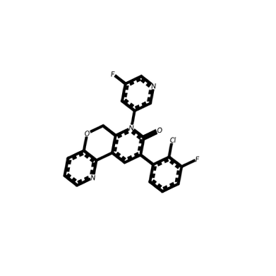 O=c1c(-c2cccc(F)c2Cl)cc2c(n1-c1cncc(F)c1)COc1cccnc1-2